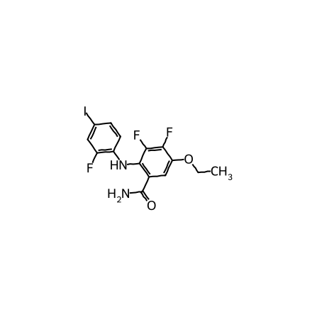 CCOc1cc(C(N)=O)c(Nc2ccc(I)cc2F)c(F)c1F